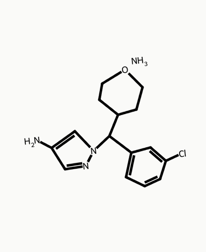 N.Nc1cnn(C(c2cccc(Cl)c2)C2CCOCC2)c1